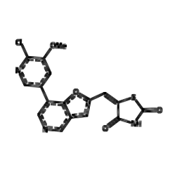 COc1cc(-c2cncc3cc(/C=C4/SC(=O)NC4=O)oc23)cnc1Cl